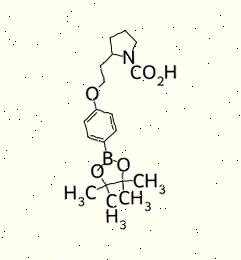 CC1(C)OB(c2ccc(OCCC3CCCN3C(=O)O)cc2)OC1(C)C